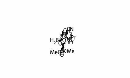 BC(COCC=C)OC(/C=C/P(=O)(OC)OC)COP(OCCC#N)N(C(C)C)C(C)C